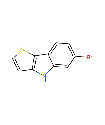 Brc1ccc2c(c1)[nH]c1ccsc12